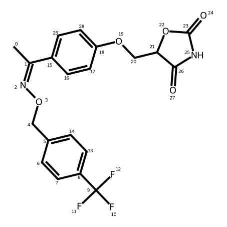 CC(=NOCc1ccc(C(F)(F)F)cc1)c1ccc(OCC2OC(=O)NC2=O)cc1